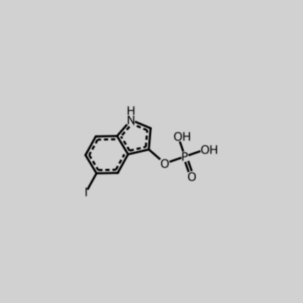 O=P(O)(O)Oc1c[nH]c2ccc(I)cc12